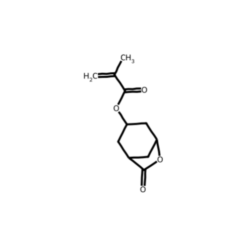 C=C(C)C(=O)OC1CC2CC(C1)C(=O)O2